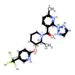 Cc1ccc(C(=O)N2CCC[C@@H](Oc3ccc(C(F)(F)F)cn3)[C@@H]2C)c(-n2nccn2)n1